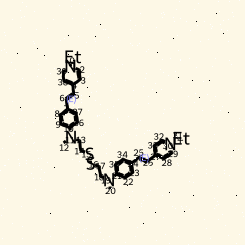 CCN1C=CC(/C=C/c2ccc(N(C)CCSSCCN(C)c3ccc(/C=C/c4cc[n+](CC)cc4)cc3)cc2)=CC1